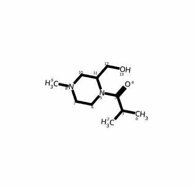 CC(C)C(=O)N1CCN(C)CC1CO